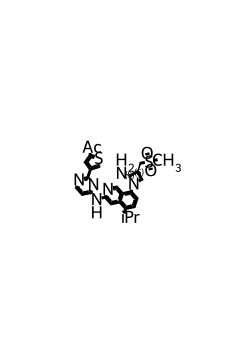 CC(=O)c1cc(-c2nccc(Nc3cc4c(C(C)C)ccc(N5C[C@H](CS(C)(=O)=O)[C@H]5N)c4cn3)n2)cs1